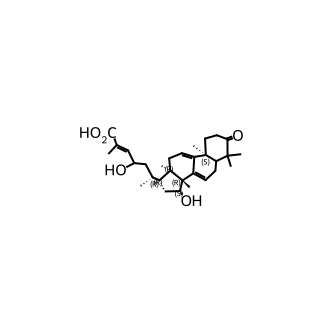 CC(=CC(O)C[C@@H](C)[C@H]1C[C@H](O)[C@@]2(C)C3=CCC4C(C)(C)C(=O)CC[C@]4(C)C3=CC[C@]12C)C(=O)O